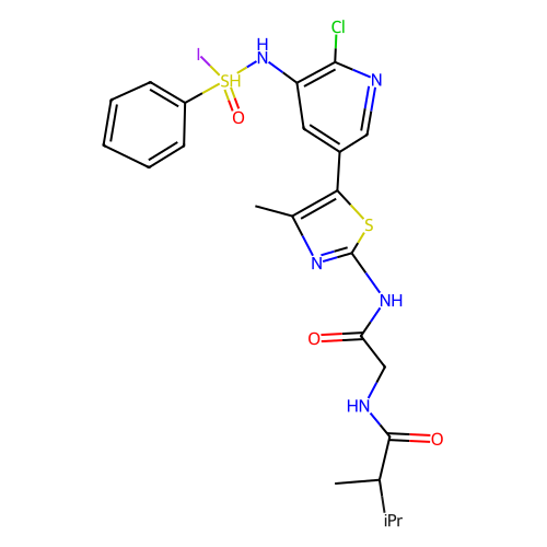 Cc1nc(NC(=O)CNC(=O)C(C)C(C)C)sc1-c1cnc(Cl)c(N[SH](=O)(I)c2ccccc2)c1